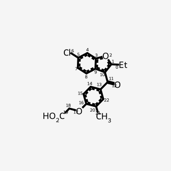 CCc1oc2cc(Cl)ccc2c1C(=O)c1ccc(OCC(=O)O)c(C)c1